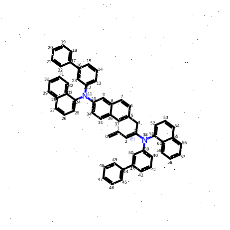 C=C/C=C(\Cc1ccc2cc(N(c3cccc(-c4ccccc4)c3)c3cccc4ccccc34)ccc2c1)N(c1cccc(-c2ccccc2)c1)c1cccc2ccccc12